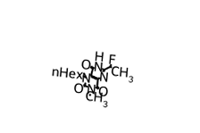 CCCCCCn1c(=O)n(C)c(=O)c2nc(C(C)F)[nH]c(=O)c21